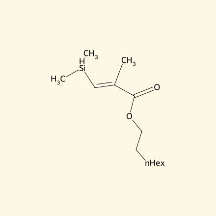 CCCCCCCCOC(=O)C(C)=C[SiH](C)C